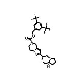 O=C(OCc1cc(C(F)(F)F)cc(C(F)(F)F)c1)N1CCn2nc(C3CN4CCC[C@@H]4CO3)cc2C1